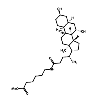 COC(=O)CCCCCNC(=O)CC[C@@H](C)[C@H]1CC[C@H]2[C@@H]3[C@@H](O)C[C@@H]4C[C@H](O)CC[C@]4(C)[C@H]3CC[C@]12C